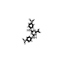 CC(C)c1nc(Nc2ccc(N(C)C)cc2)nc(Nc2ccc(N(C)C)cc2)n1